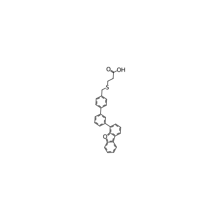 O=C(O)CCSCc1ccc(-c2cccc(-c3cccc4c3oc3ccccc34)c2)cc1